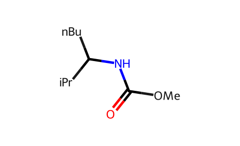 CCCCC(NC(=O)OC)C(C)C